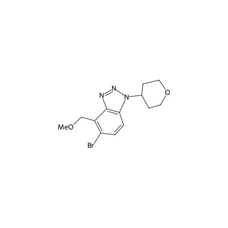 COCc1c(Br)ccc2c1nnn2C1CCOCC1